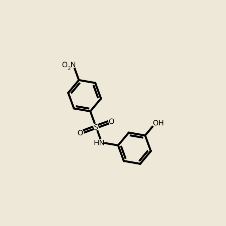 O=[N+]([O-])c1ccc(S(=O)(=O)Nc2cccc(O)c2)cc1